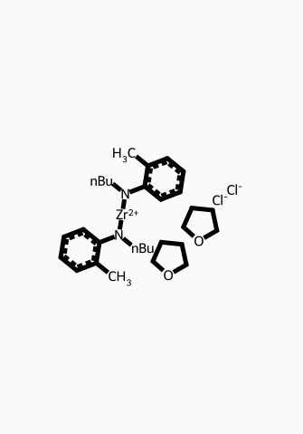 C1CCOC1.C1CCOC1.CCCC[N]([Zr+2][N](CCCC)c1ccccc1C)c1ccccc1C.[Cl-].[Cl-]